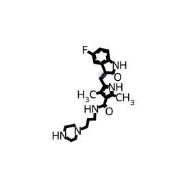 Cc1[nH]c(/C=C2\C(=O)Nc3ccc(F)cc32)c(C)c1C(=O)NCCCN1CCNCC1